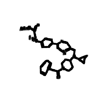 COC(=O)Nc1ccc(-c2cnc(CN(C3CC3)C3CCN(C(=O)c4ccccc4)CC3)cn2)cc1